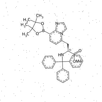 COC(=O)[C@H](Cc1ccc(B2OC(C)(C)C(C)(C)O2)c2nccn12)NC(c1ccccc1)(c1ccccc1)c1ccccc1